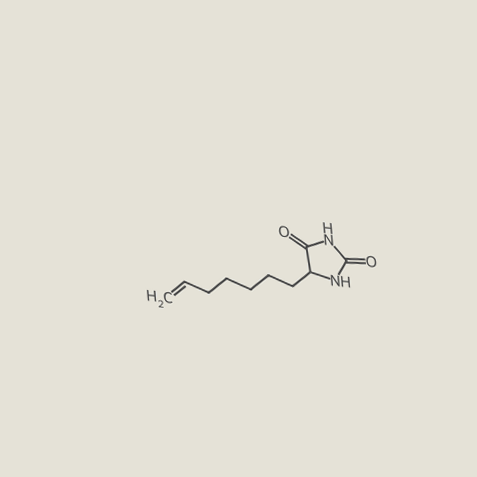 C=CCCCCCC1NC(=O)NC1=O